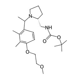 COCCOc1ccc(C(C)N2CCC[C@@H]2CNC(=O)OC(C)(C)C)c(C)c1C